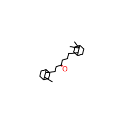 CC1C2CCC(CC2)C1CCC(=O)CCCC1C2CCC(CC2)C1(C)C